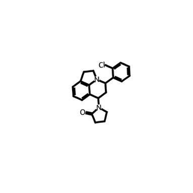 O=C1CCCN1C1CC(c2ccccc2Cl)N2CCc3cccc1c32